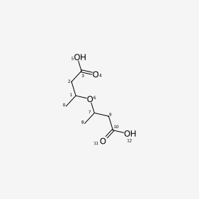 CC(CC(=O)O)OC(C)CC(=O)O